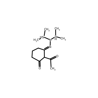 CC(=O)C1C(=O)CCCC1=NN([SiH](C)C)[SiH](C)C